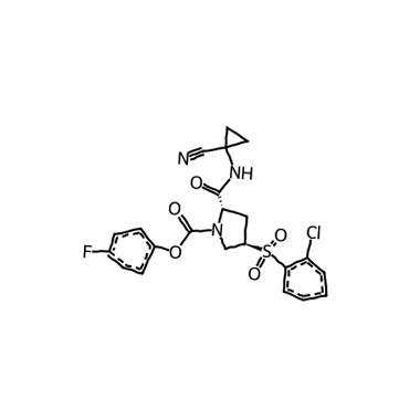 N#CC1(NC(=O)[C@@H]2C[C@@H](S(=O)(=O)c3ccccc3Cl)CN2C(=O)Oc2ccc(F)cc2)CC1